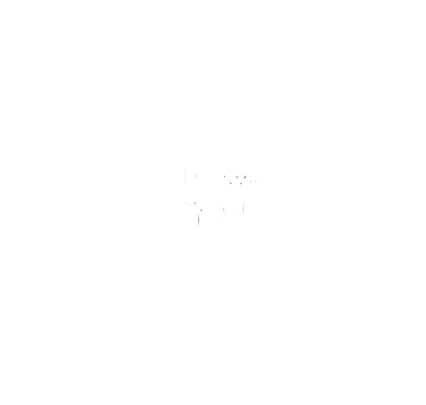 CCN(C)[SH2](O)(O)[N]C